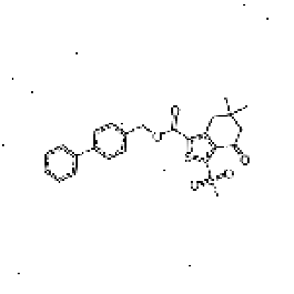 CC1(C)CC(=O)c2c(S(C)(=O)=O)sc(C(=O)OCc3ccc(-c4ccccc4)cc3)c2C1